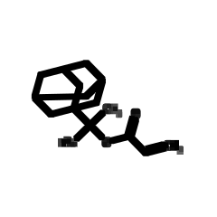 C=CC(=O)OC(C)(CCCC)C12CC3CC(CC(C3)C1)C2